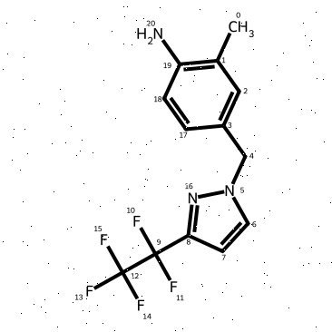 Cc1cc(Cn2ccc(C(F)(F)C(F)(F)F)n2)ccc1N